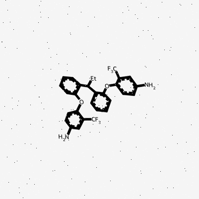 CCC(c1ccccc1Oc1ccc(N)cc1C(F)(F)F)c1ccccc1Oc1ccc(N)cc1C(F)(F)F